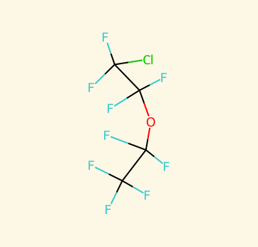 FC(F)(F)C(F)(F)OC(F)(F)C(F)(F)Cl